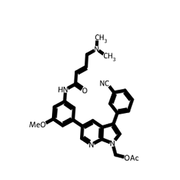 COc1cc(NC(=O)C=CCN(C)C)cc(-c2cnc3c(c2)c(-c2cccc(C#N)c2)cn3COC(C)=O)c1